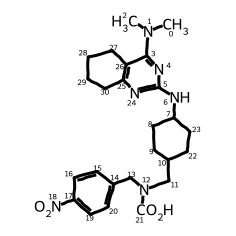 CN(C)c1nc(NC2CCC(CN(Cc3ccc([N+](=O)[O-])cc3)C(=O)O)CC2)nc2c1CCCC2